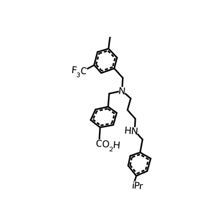 Cc1cc(CN(CCCNCc2ccc(C(C)C)cc2)Cc2ccc(C(=O)O)cc2)cc(C(F)(F)F)c1